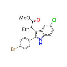 CCC(C(=O)OC)c1c(-c2ccc(Br)cc2)[nH]c2ccc(Cl)cc12